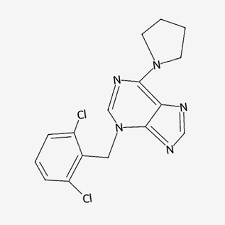 Clc1cccc(Cl)c1Cn1cnc(N2CCCC2)c2ncnc1-2